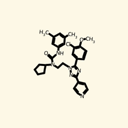 COc1ccc(-c2nc(-c3ccncc3)nn2CCN(C(=O)Nc2cc(C)cc(C)c2)C2CCCC2)cc1Cl